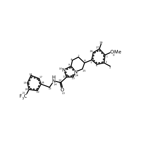 COc1c(C)cc(C2CCc3nc(C(=O)NCc4cccc(C(F)(F)F)c4)cn3C2)cc1C